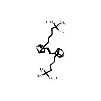 CC(C)(CCCCC1=C2OC1=CC2C=CC1=C2OC1=CC2CCCCC(C)(C)C(=O)O)C(=O)O